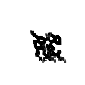 CC(C)(C)CNc1c(C#N)cnc2c(C#N)cc(N[C@H](c3cn(CC(N)=O)nn3)c3ccccc3Cl)cc12